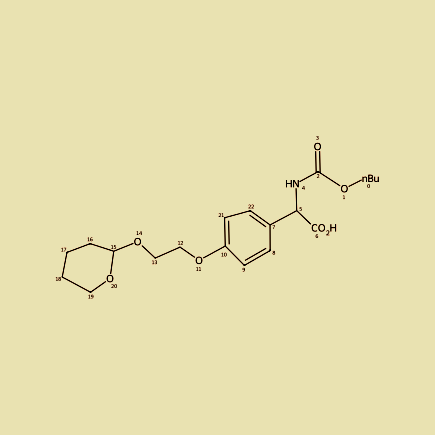 CCCCOC(=O)NC(C(=O)O)c1ccc(OCCOC2CCCCO2)cc1